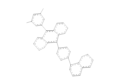 Fc1cc(F)cc(-c2c3ccccc3c(-c3ccc(-c4cccc5ccccc45)cc3)c3ccccc23)c1